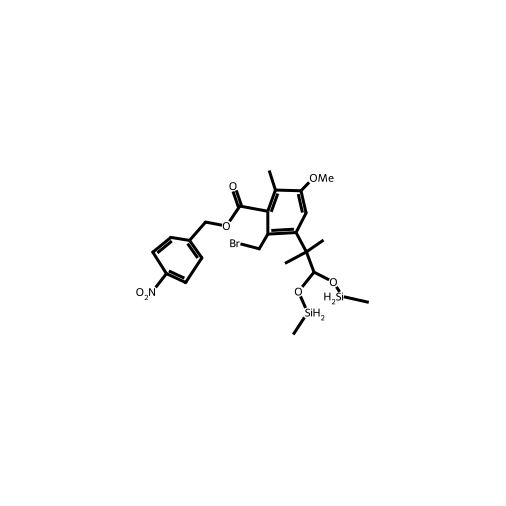 COc1cc(C(C)(C)C(O[SiH2]C)O[SiH2]C)c(CBr)c(C(=O)OCc2ccc([N+](=O)[O-])cc2)c1C